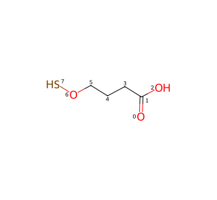 O=C(O)CCCOS